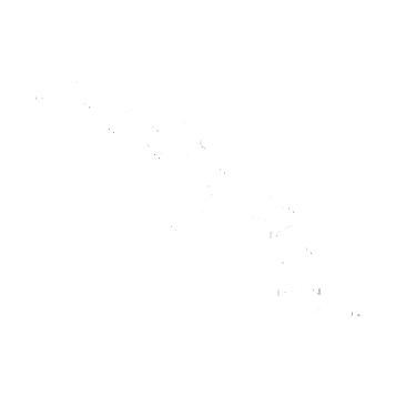 COC(=O)NC(C(=O)N1CCC[C@H]1c1nc2cc([C@H]3CC[C@H](C4C=c5nc([C@@H]6CCCN6C(=O)[C@@H](NC(=O)OC)C(C)C)[nH]c5=CC4)N3c3cc(F)c(N4CCC(C(F)(F)F)CC4)c(F)c3)ccc2[nH]1)C(C)C